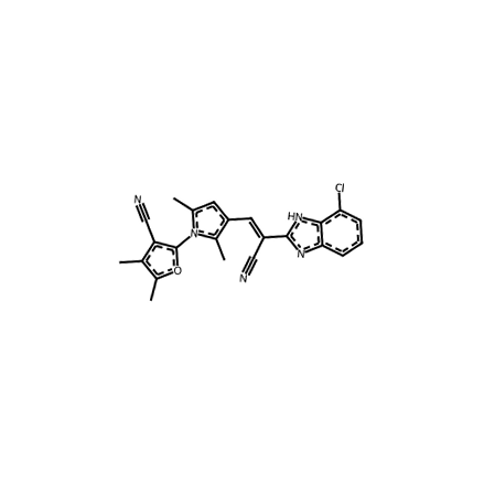 Cc1oc(-n2c(C)cc(C=C(C#N)c3nc4cccc(Cl)c4[nH]3)c2C)c(C#N)c1C